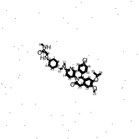 CNC(=O)CN[C@H]1CC[C@H](CN(C)c2ccc(N3C(=O)Cc4cc(OC)c(OC(C)C)cc4[C@@H]3c3ccc(Cl)cc3)cn2)CC1